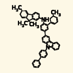 CC1C=C2C(=CC1)C(C)(C)c1cc(Nc3ccc(-c4ccc5c(c4)c4ccccc4n5-c4ccc(-c5ccccc5)cc4)cc3C3=CC=CC(C)C3)ccc12